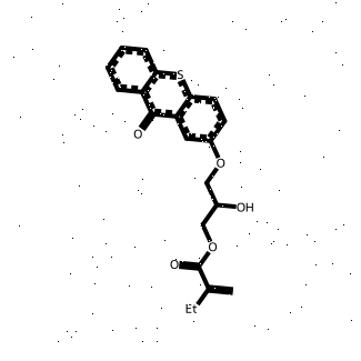 C=C(CC)C(=O)OCC(O)COc1ccc2sc3ccccc3c(=O)c2c1